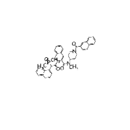 CN(C(=O)c1cc2ccccc2cc1C(=O)C(c1cccc2ccccc12)P(C)(C)=O)C1CCN(C(=O)c2ccc3ccccc3c2)CC1